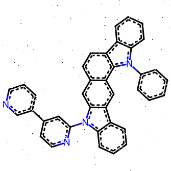 c1ccc(-n2c3ccccc3c3ccc4cc5c(cc4c32)c2ccccc2n5-c2cc(-c3cccnc3)ccn2)cc1